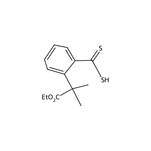 CCOC(=O)C(C)(C)c1ccccc1C(=S)S